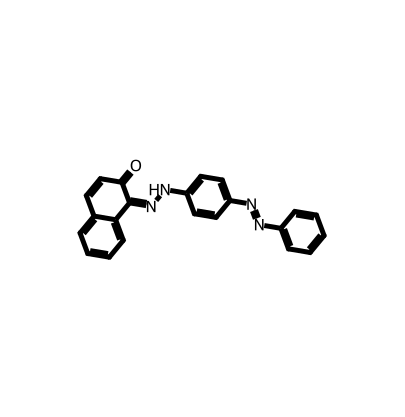 O=C1C=Cc2ccccc2C1=NNc1ccc(N=Nc2ccccc2)cc1